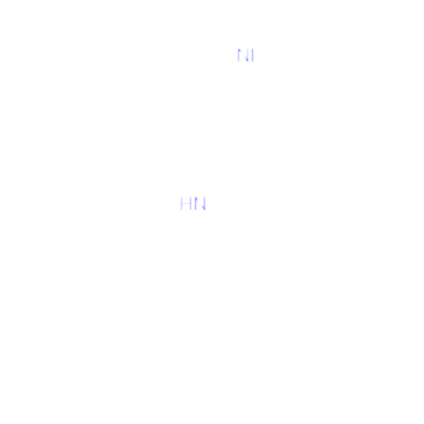 Cc1cc(C)cc(Nc2ccccc2C=N)c1